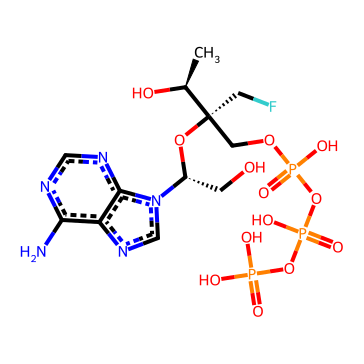 C[C@H](O)[C@@](CF)(COP(=O)(O)OP(=O)(O)OP(=O)(O)O)O[C@H](CO)n1cnc2c(N)ncnc21